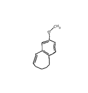 COc1ccc2c(c1)C=CCC2